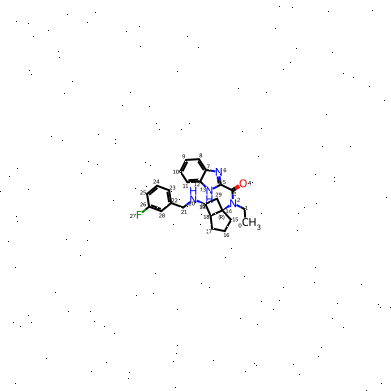 CCN(C(=O)c1nc2ccccc2[nH]1)[C@@]12CCCC1[C@@H](NCc1cccc(F)c1)C2